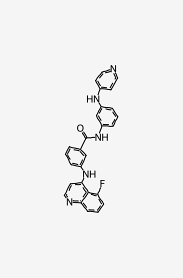 O=C(Nc1cccc(Nc2ccncc2)c1)c1cccc(Nc2ccnc3cccc(F)c23)c1